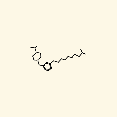 CC(C)CCCCCCCCc1cccc(CN2CCN(C(C)C)CC2)c1